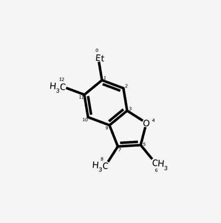 CCc1cc2oc(C)c(C)c2cc1C